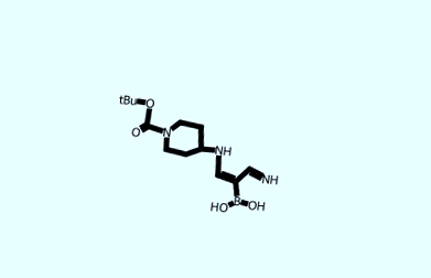 CC(C)(C)OC(=O)N1CCC(N/C=C(\C=N)B(O)O)CC1